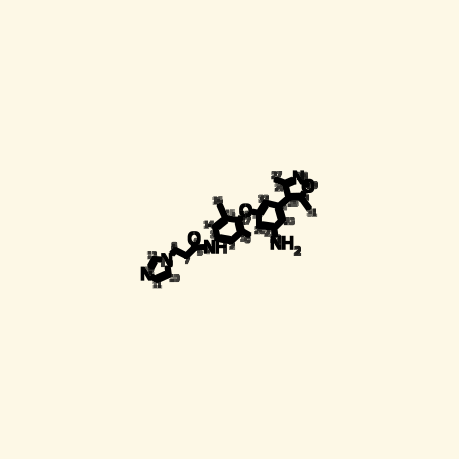 Cc1cc(NC(=O)CCn2ccnc2)cc(C)c1Oc1cc(N)cc(-c2c(C)noc2C)c1